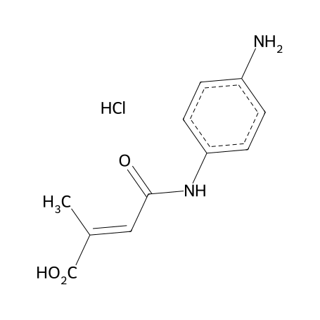 CC(=CC(=O)Nc1ccc(N)cc1)C(=O)O.Cl